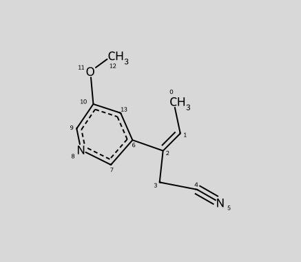 C/C=C(/CC#N)c1cncc(OC)c1